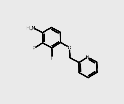 Nc1ccc(OCc2ccccn2)c(F)c1F